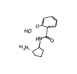 Cl.N[C@H]1CCCC1NC(=O)c1ccccc1Cl